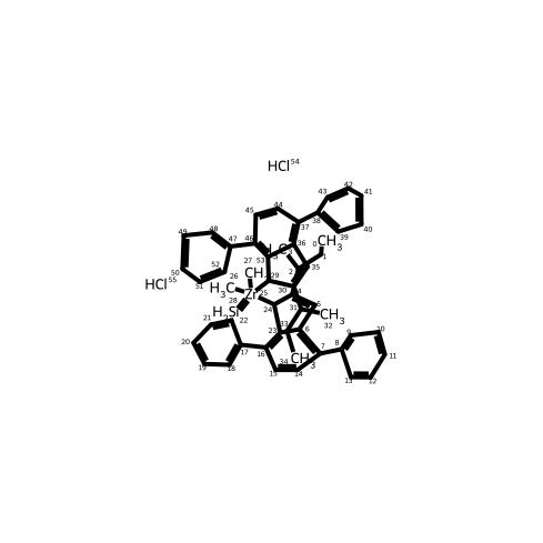 CCC(C)C1=Cc2c(-c3ccccc3)ccc(-c3ccccc3)c2[CH]1[Zr]([CH3])([CH3])(=[SiH2])[CH]1C(C(C)CC)=Cc2c(-c3ccccc3)ccc(-c3ccccc3)c21.Cl.Cl